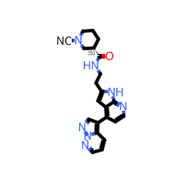 N#CN1CCC[C@H](C(=O)NCCc2cc3c(-c4cnn5ncccc45)ccnc3[nH]2)C1